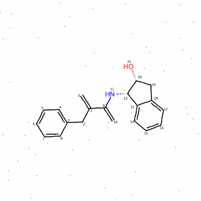 C=C(Cc1ccccc1)C(=C)N[C@H]1c2ccccc2C[C@H]1O